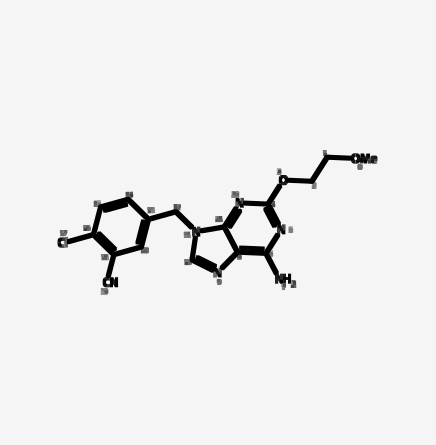 COCCOc1nc(N)c2ncn(Cc3ccc(Cl)c(C#N)c3)c2n1